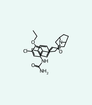 CCOc1cc(C=CC(=O)N2C3CCC2CN(Cc2ccc(F)cc2)C3)c(NC(N)=O)cc1Cl